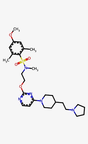 COc1cc(C)c(S(=O)(=O)N(C)CCOc2nccc(N3CCC(CCN4CCCC4)CC3)n2)c(C)c1